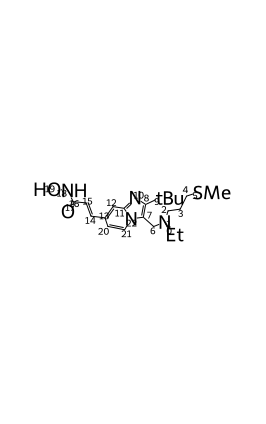 CCN(CCCSC)Cc1c(C(C)(C)C)nc2cc(C=CC(=O)NO)ccn12